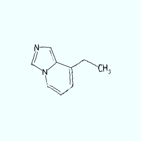 CCc1cccn2cncc12